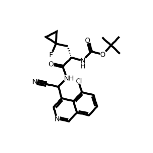 CC(C)(C)OC(=O)N[C@@H](CC1(F)CC1)C(=O)NC(C#N)c1cncc2cccc(Cl)c12